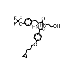 O=C(NC(Cc1ccc(OC(F)(F)F)cc1)C(=O)NCCO)c1ccc(OCCCC2CC2)cc1